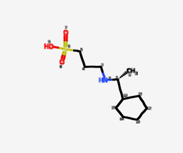 C[C@@H](NCCCS(=O)(=O)O)C1CCCCC1